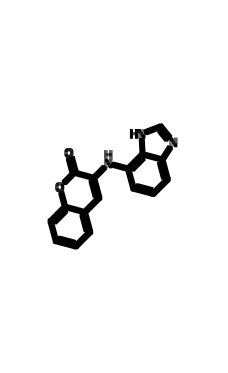 O=c1oc2ccccc2cc1Nc1cccc2nc[nH]c12